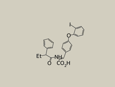 CCC(C(=O)NC(=Cc1ccc(Oc2ccccc2I)cc1)C(=O)O)c1ccccc1